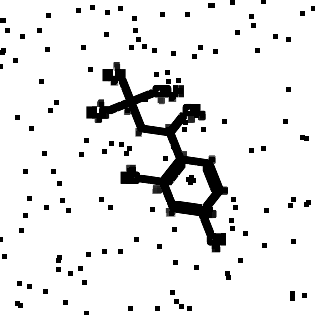 CC(CC(C)(N)C(=O)O)c1ccc(O)cc1O